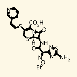 CCO/N=C(/C(=O)NC1C(=O)N2C(C(=O)O)=C(S/C=C\c3cccnc3)CS[C@H]12)c1nsc(N)n1